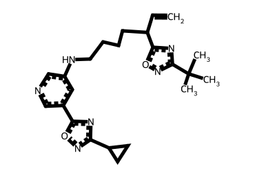 C=CC(CCCCNc1cncc(-c2nc(C3CC3)no2)c1)c1nc(C(C)(C)C)no1